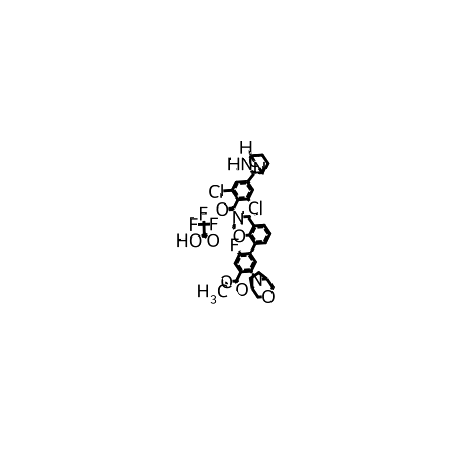 COC(=O)c1cc(F)c(-c2cccc3c2OCN(C(=O)c2c(Cl)cc(N4C[C@@H]5CCC4CN5)cc2Cl)C3)cc1N1C2CCC1COC2.O=C(O)C(F)(F)F